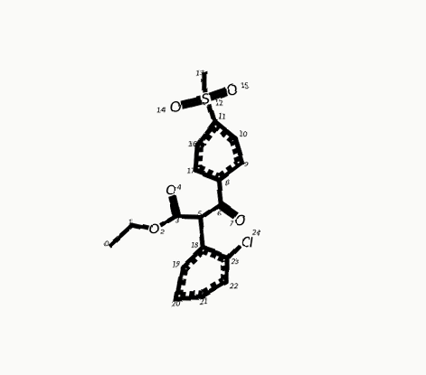 CCOC(=O)C(C(=O)c1ccc(S(C)(=O)=O)cc1)c1ccccc1Cl